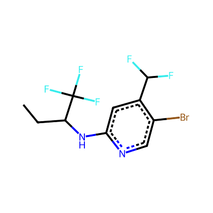 CCC(Nc1cc(C(F)F)c(Br)cn1)C(F)(F)F